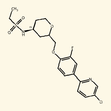 CCS(=O)(=O)N[C@H]1CCOC(COc2ccc(-c3ccc(Cl)cn3)cc2F)C1